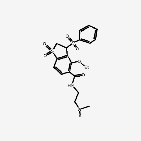 CCOc1c(C(=O)NCCN(C)C)ccc2c1C(S(=O)(=O)c1ccccc1)CS2(=O)=O